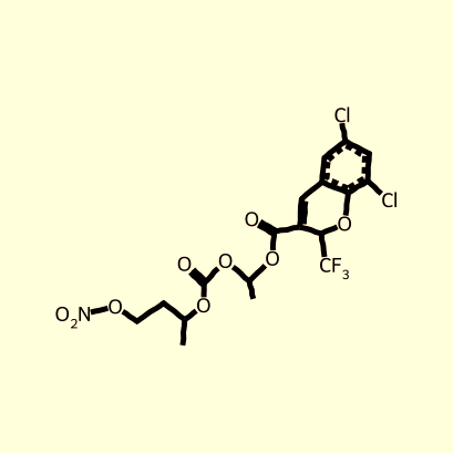 CC(CCO[N+](=O)[O-])OC(=O)OC(C)OC(=O)C1=Cc2cc(Cl)cc(Cl)c2OC1C(F)(F)F